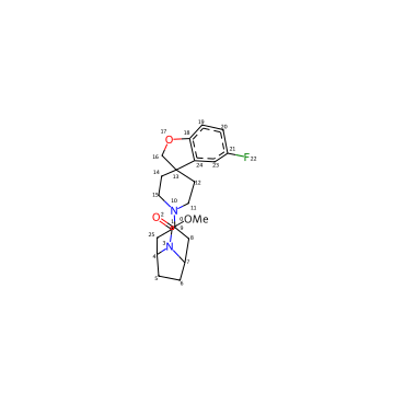 COC(=O)N1C2CCC1CC(N1CCC3(CC1)COc1ccc(F)cc13)C2